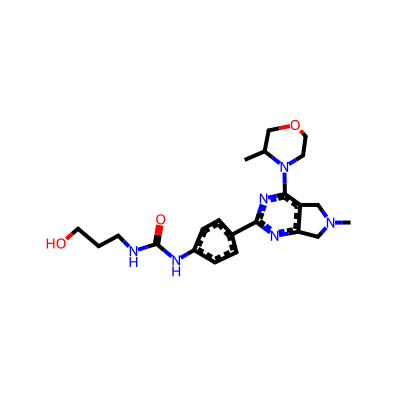 CC1COCCN1c1nc(-c2ccc(NC(=O)NCCCO)cc2)nc2c1CN(C)C2